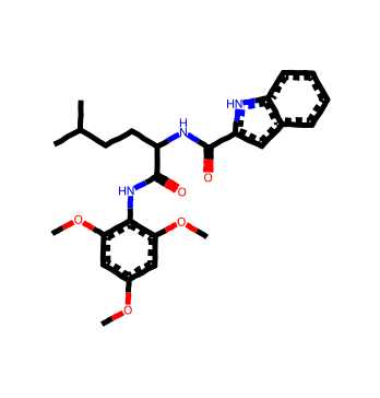 COc1cc(OC)c(NC(=O)C(CCC(C)C)NC(=O)c2cc3ccccc3[nH]2)c(OC)c1